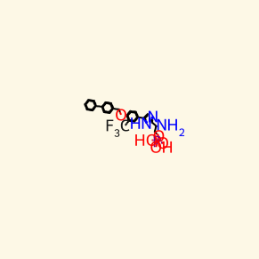 N[C@@H](COP(=O)(O)O)c1ncc(-c2ccc(OCc3ccc(-c4ccccc4)cc3)c(C(F)(F)F)c2)[nH]1